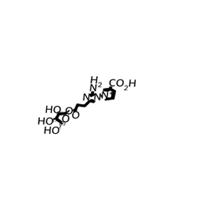 Nc1nc(CCC(=O)O[C@H]2O[C@H](CO)[C@@H](O)[C@H]2O)cn1-[n+]1cccc(C(=O)O)c1